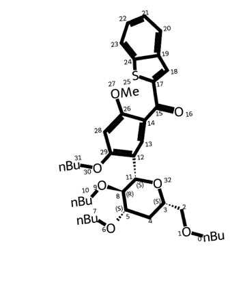 CCCCOC[C@@H]1C[C@H](OCCCC)[C@@H](OCCCC)[C@H](c2cc(C(=O)c3cc4ccccc4s3)c(OC)cc2OCCCC)O1